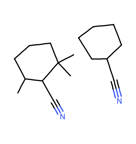 CC1CCCC(C)(C)C1C#N.N#CC1CCCCC1